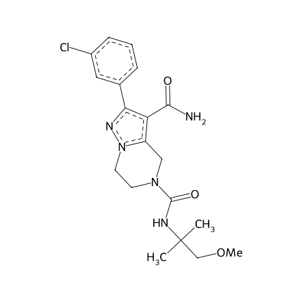 COCC(C)(C)NC(=O)N1CCn2nc(-c3cccc(Cl)c3)c(C(N)=O)c2C1